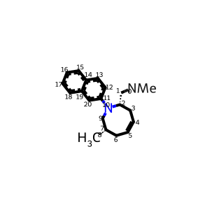 CNC[C@@H]1C/C=C\C[C@H](C)CN1c1ccc2ccccc2c1